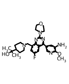 COc1ncc(-c2nc(N3CCOCC3)nc3c(CN4CCC(C(C)(C)O)CC4)cc(F)cc23)cc1N